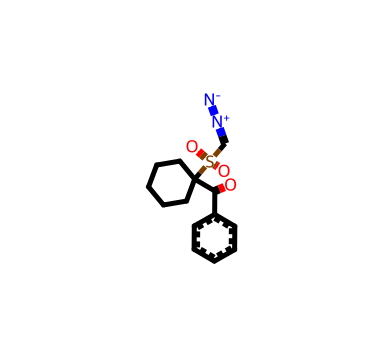 [N-]=[N+]=CS(=O)(=O)C1(C(=O)c2ccccc2)CCCCC1